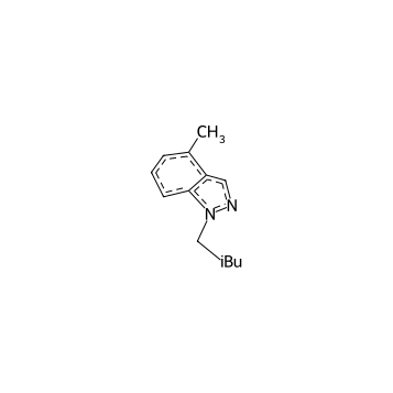 CCC(C)Cn1ncc2c(C)cccc21